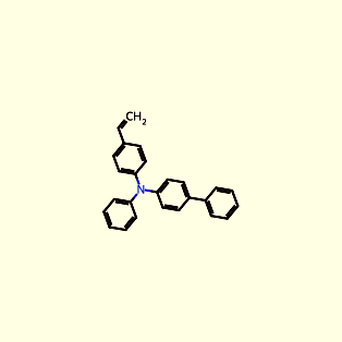 C=Cc1ccc(N(c2ccccc2)c2ccc(-c3ccccc3)cc2)cc1